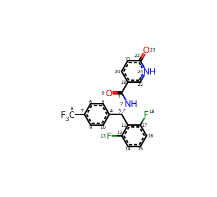 O=C(N[C@@H](c1ccc(C(F)(F)F)cc1)c1c(F)cccc1F)c1ccc(=O)[nH]c1